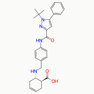 CC(C)(C)n1nc(C(=O)Nc2ccc(CN[C@H]3CC=CC[C@@H]3C(=O)O)cc2)cc1-c1ccccc1